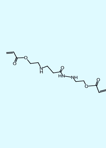 C=CC(=O)OCCNCCC(=O)NNCCOC(=O)C=C